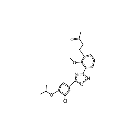 COc1c(CCC(C)=O)cccc1-c1noc(-c2ccc(OC(C)C)c(Cl)c2)n1